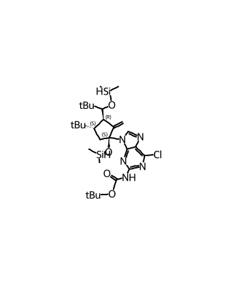 C=C1[C@H](C(O[SiH](C)C)C(C)(C)C)[C@@H](C(C)(C)C)C[C@@]1(O[SiH](C)C)n1cnc2c(Cl)nc(NC(=O)OC(C)(C)C)nc21